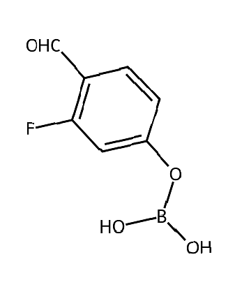 O=Cc1ccc(OB(O)O)cc1F